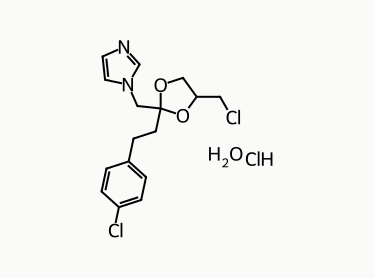 Cl.ClCC1COC(CCc2ccc(Cl)cc2)(Cn2ccnc2)O1.O